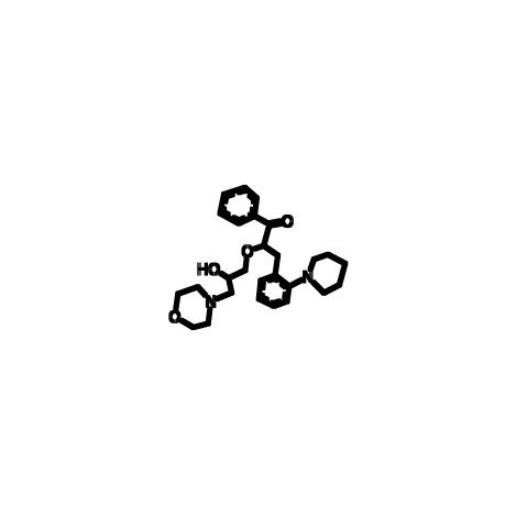 O=C(c1ccccc1)C(Cc1ccccc1N1CCCCC1)OCC(O)CN1CCOCC1